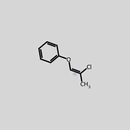 C/C(Cl)=C/Oc1ccccc1